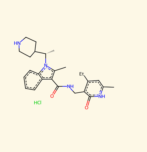 CCc1cc(C)[nH]c(=O)c1CNC(=O)c1c(C)n([C@@H](C)C2CCNCC2)c2ccccc12.Cl